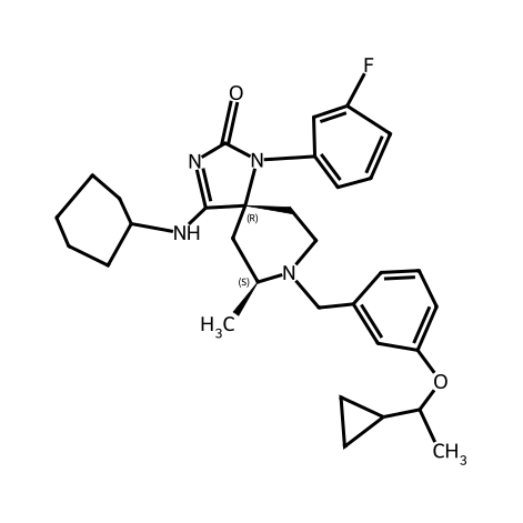 CC(Oc1cccc(CN2CC[C@@]3(C[C@@H]2C)C(NC2CCCCC2)=NC(=O)N3c2cccc(F)c2)c1)C1CC1